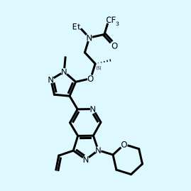 C=Cc1nn(C2CCCCO2)c2cnc(-c3cnn(C)c3O[C@@H](C)CN(CC)C(=O)C(F)(F)F)cc12